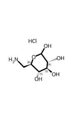 Cl.NC[C@H]1OC(O)[C@H](O)[C@@H](O)[C@@H]1O